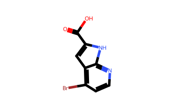 O=C(O)c1cc2c(Br)ccnc2[nH]1